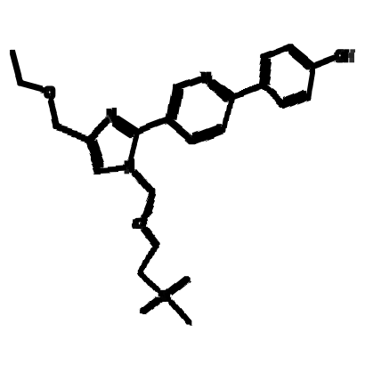 CCOCc1cn(COCC[Si](C)(C)C)c(-c2ccc(-c3ccc(O)cc3)nc2)n1